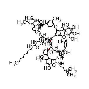 CCCCCCCCNC(=O)NC(=O)C[C@@H]1NC(=O)[C@H](NC(=O)[C@@H](CC(C)C)NC)[C@H](O)c2ccc(c(C)c2)Oc2cc3cc(c2O[C@@H]2O[C@H](CO)[C@@H](O)[C@H](O)[C@H]2O)Oc2ccc(cc2Cl)[C@@H](O)[C@@H]2NC(=O)[C@H](NC(=O)[C@@H]3NC1=O)c1ccc(O)c(c1)-c1c(C)cc(O)cc1[C@@H](C(=O)NCCCN(C)C)NC2=O